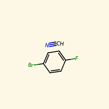 C#N.Fc1ccc(Br)cc1